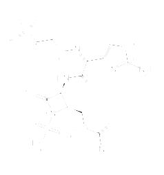 CS(=O)(=O)CCO/N=C(\C(=O)N[C@@H]1C(=O)N(S(=O)(=O)O)[C@@H]1COC(N)=O)c1csc(N)n1